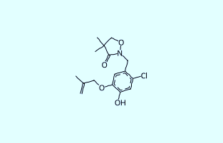 C=C(C)COc1cc(CN2OCC(C)(C)C2=O)c(Cl)cc1O